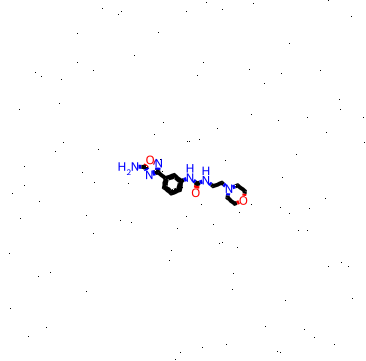 Nc1nc(-c2cccc(NC(=O)NCCN3CCOCC3)c2)no1